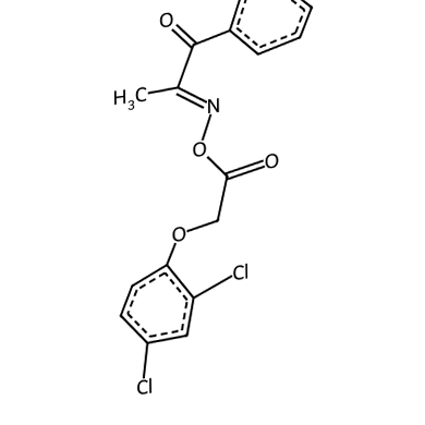 C/C(=N\OC(=O)COc1ccc(Cl)cc1Cl)C(=O)c1ccccc1